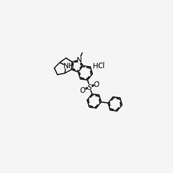 Cl.Cn1c2c(c3cc(S(=O)(=O)c4cccc(-c5ccccc5)c4)ccc31)C1CCC(C2)N1